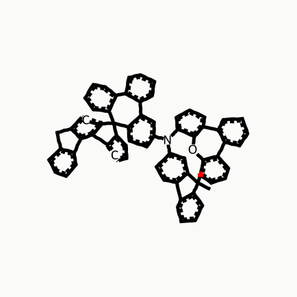 CC1(C)c2ccccc2-c2ccc(N(c3ccc4c(c3)-c3ccccc3-c3ccccc3C43c4ccccc4-c4c3ccc3c4-c4ccccc4C3)c3cccc4c3Oc3ccccc3-c3ccccc3-4)cc21